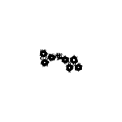 c1ccc(N2c3ccccc3N(c3ccc(-c4cn(-c5ccc(N6c7ccccc7Oc7ccccc76)cc5)nn4)cc3)c3ccccc32)cc1